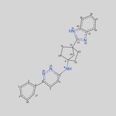 c1ccc(-c2ccc(NC34CCC(c5nc6ccccc6[nH]5)(CC3)C4)nn2)cc1